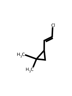 CC1(C)CC1C=CCl